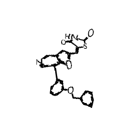 O=C1NC(=O)/C(=C\c2cc3cncc(-c4cccc(OCc5ccccc5)c4)c3o2)S1